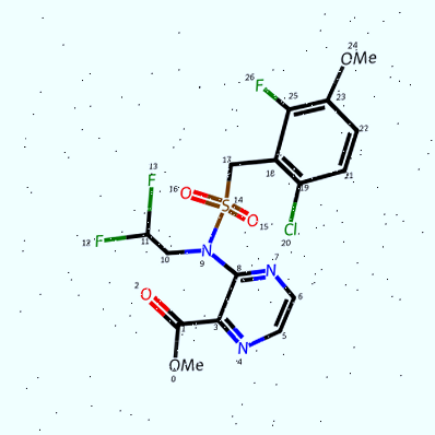 COC(=O)c1nccnc1N(CC(F)F)S(=O)(=O)Cc1c(Cl)ccc(OC)c1F